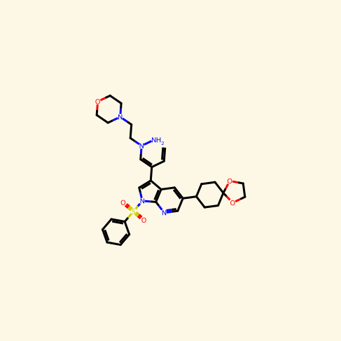 C=C/C(=C\N(N)CCN1CCOCC1)c1cn(S(=O)(=O)c2ccccc2)c2ncc(C3CCC4(CC3)OCCO4)cc12